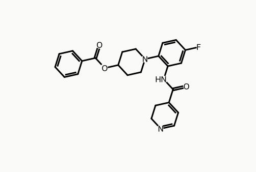 O=C(Nc1cc(F)ccc1N1CCC(OC(=O)c2ccccc2)CC1)C1=CC=NCC1